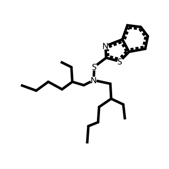 CCCCC(CC)CN(CC(CC)CCCC)Sc1nc2ccccc2s1